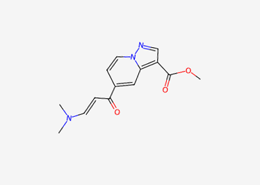 COC(=O)c1cnn2ccc(C(=O)C=CN(C)C)cc12